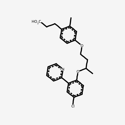 Cc1cc(OCCC(C)Oc2ccc(Cl)cc2-c2ccccn2)ccc1CCC(=O)O